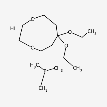 CCOC1(OCC)CCCCCCCC1.CP(C)C.I